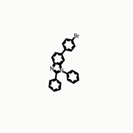 Brc1ccc(-c2ccc3nc(-c4ccccc4)n(-c4ccccc4)c3c2)cc1